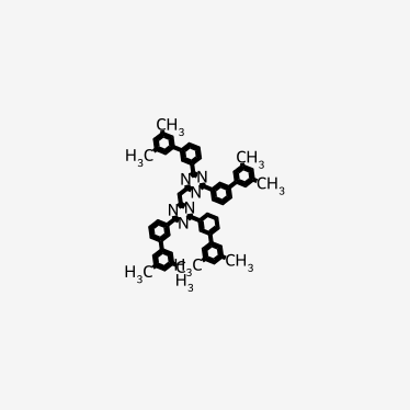 Cc1cc(C)cc(C2=CCCC(c3nc(Cc4nc(-c5cccc(-c6cc(C)cc(C)c6)c5)nc(-c5cccc(-c6cc(C)cc(C)c6)c5)n4)nc(-c4cccc(-c5cc(C)cc(C)c5)c4)n3)=C2)c1